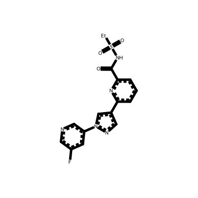 CCS(=O)(=O)NC(=O)c1cccc(-c2cnn(-c3cncc(F)c3)c2)n1